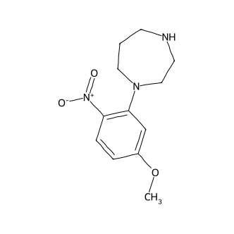 COc1ccc([N+](=O)[O-])c(N2CCCNCC2)c1